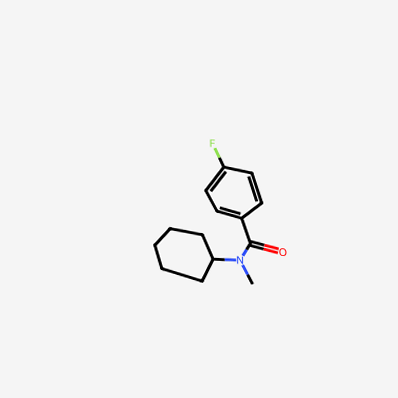 CN(C(=O)c1ccc(F)cc1)C1CCCCC1